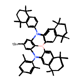 Cc1cc(C)c(N2c3cc4c(cc3B3c5cc6c(cc5N(c5ccc7c(c5)C(C)(C)CCC7(C)C)c5cc(C(C)(C)C)cc2c53)C(C)(C)CCC6(C)C)C(C)(C)CCC4(C)C)c(C)c1